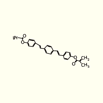 C=C(C)C(=O)Oc1ccc(/C=C/c2ccc(/C=C/c3ccc(OC(=O)C(C)C)cc3)cc2)cc1